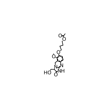 COc1c(OCCCCOC(C)=O)ccc2c1CN1C(=N2)NC(=O)C1CO